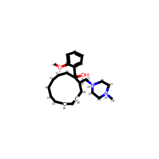 COc1ccccc1C1(O)CCCCCCCCCCC1CN1CCN(C)CC1